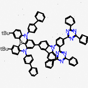 CC(C)(C)c1ccc2c(c1)B1c3cc(C(C)(C)C)ccc3N(c3ccc(-c4ccccc4)cc3)c3cc(-c4ccc5c(c4)c4ccccc4n5-c4ccc(-c5nc(-c6ccccc6)nc(-c6ccccc6)n5)cc4-c4nc(-c5ccccc5)nc(-c5ccccc5)n4)cc(c31)N2c1ccc(-c2ccccc2)cc1